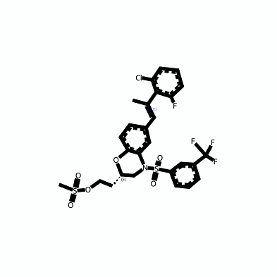 C/C(=C\c1ccc2c(c1)N(S(=O)(=O)c1cccc(C(F)(F)F)c1)C[C@H](CCOS(C)(=O)=O)O2)c1c(F)cccc1Cl